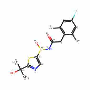 CC(C)c1cc(F)cc(C(C)C)c1CC(=O)N[S+]([O-])c1cnc(C(C)(C)O)s1